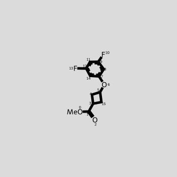 COC(=O)C1CC(Oc2cc(F)cc(F)c2)C1